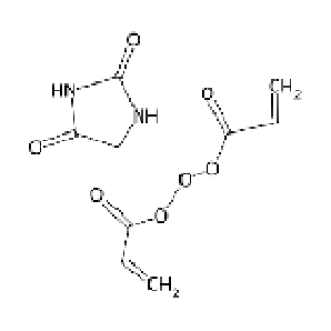 C=CC(=O)OOOC(=O)C=C.O=C1CNC(=O)N1